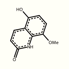 COc1ccc(O)c2ccc(=O)[nH]c12